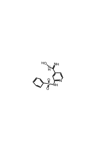 N=C(NO)c1ccnc(NS(=O)(=O)c2ccccc2)c1